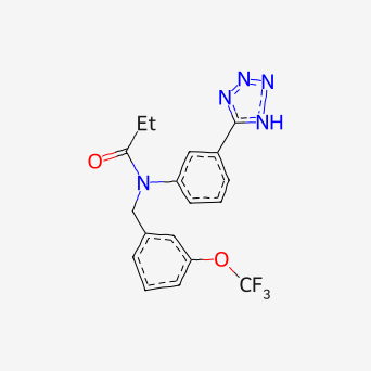 CCC(=O)N(Cc1cccc(OC(F)(F)F)c1)c1cccc(-c2nnn[nH]2)c1